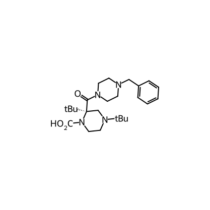 CC(C)(C)N1CCN(C(=O)O)[C@](C(=O)N2CCN(Cc3ccccc3)CC2)(C(C)(C)C)C1